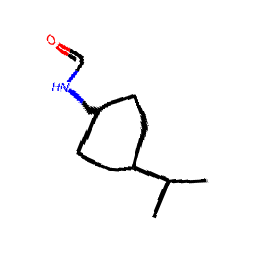 CC(C)C1CCC(NC=O)CC1